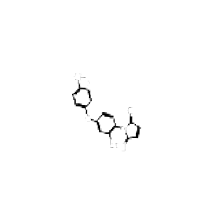 CCc1cc(Oc2ccc(C)cc2)ccc1N1C(=O)C=CC1=O